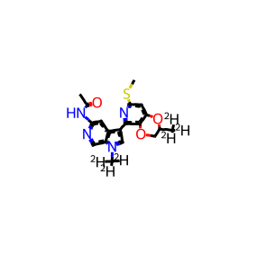 [2H]C([2H])([2H])C1COc2c(cc(SC)nc2-c2cn(C([2H])([2H])[2H])c3cnc(NC(C)=O)cc23)O1